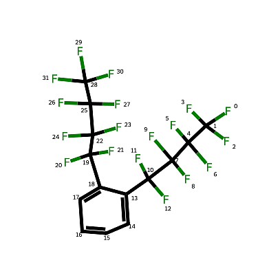 FC(F)(F)C(F)(F)C(F)(F)C(F)(F)c1ccccc1C(F)(F)C(F)(F)C(F)(F)C(F)(F)F